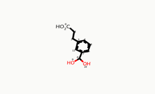 O=C(O)CCc1cccc(C(O)O)c1